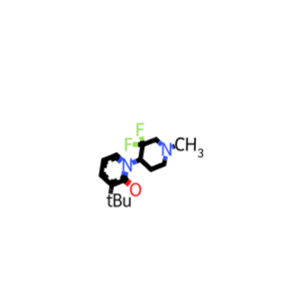 CN1CCC(n2cccc(C(C)(C)C)c2=O)C(F)(F)C1